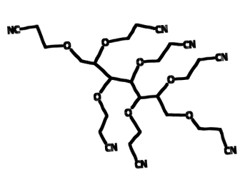 N#CCCOCC(OCCC#N)C(OCCC#N)C(OCCC#N)C(OCCC#N)C(COCCC#N)OCCC#N